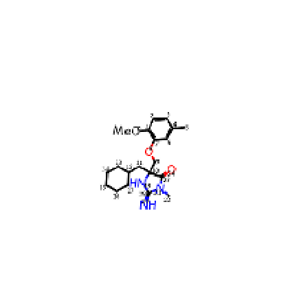 COc1ccc(C)cc1OCC1(CC2CCCCC2)NC(=N)N(C)C1=O